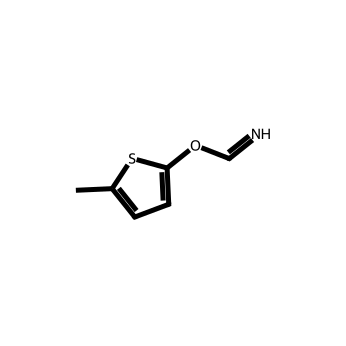 Cc1ccc(OC=N)s1